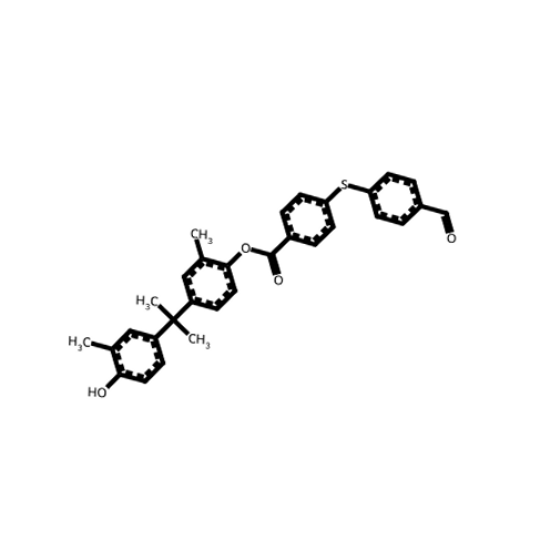 Cc1cc(C(C)(C)c2ccc(OC(=O)c3ccc(Sc4ccc(C=O)cc4)cc3)c(C)c2)ccc1O